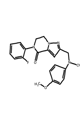 COc1ccc(N(C)Cc2cc3n(n2)CCN(c2ccccc2F)C3=O)cc1